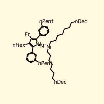 CCCCCCC1=C(c2cccc(CCCCC)c2)[N+](=[N-])C(c2cccc(CCCCC)c2)=C1CC.CCCCCCCCCCCCCCCC[CH2][Ni][CH2]CCCCCCCCCCCCCCCC